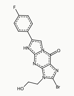 O=c1c2nc(Br)n(CCO)c2nc2[nH]c(-c3ccc(F)cc3)cn12